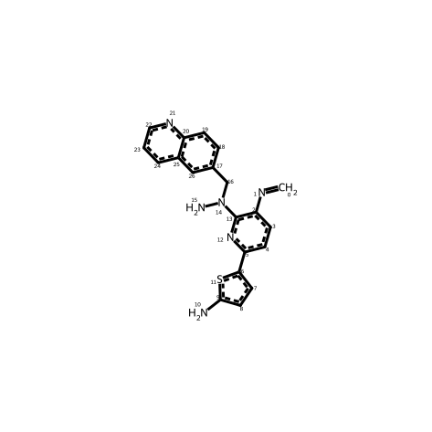 C=Nc1ccc(-c2ccc(N)s2)nc1N(N)Cc1ccc2ncccc2c1